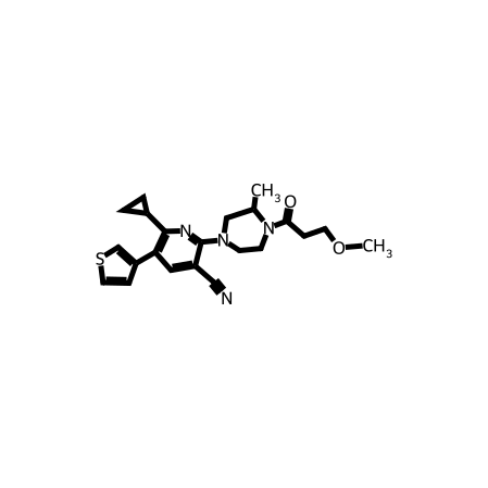 COCCC(=O)N1CCN(c2nc(C3CC3)c(-c3ccsc3)cc2C#N)CC1C